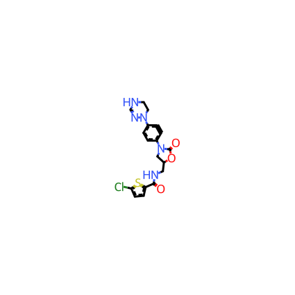 O=C(NCC1CN(c2c#cc(N3CCNC=N3)cc2)C(=O)O1)c1ccc(Cl)s1